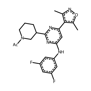 CC(=O)N1CCCC(c2nc(Nc3cc(F)cc(F)c3)cc(-c3c(C)noc3C)n2)C1